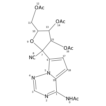 CC(=O)Nc1ncnn2c(C3(C#N)OC(COC(C)=O)C(OC(C)=O)C3OC(C)=O)ccc12